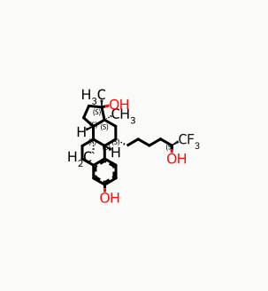 C=C[C@@]12CCc3cc(O)ccc3[C@H]1[C@@H](CCCC[C@H](O)C(F)(F)F)C[C@@]1(C)[C@H]2CC[C@]1(C)O